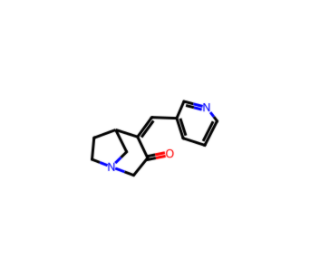 O=C1CN2CCC(C2)/C1=C/c1cccnc1